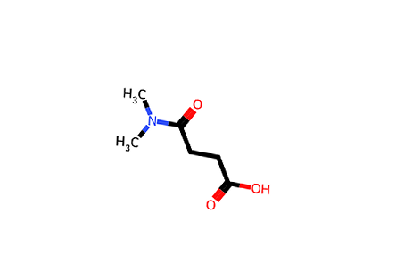 CN(C)C(=O)CCC(=O)O